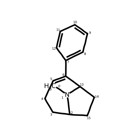 CN1C2CCC=C(c3ccccc3)C1CC2